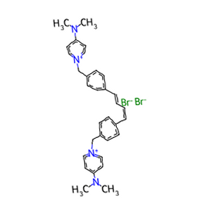 CN(C)c1cc[n+](Cc2ccc(/C=C\C=C\c3ccc(C[n+]4ccc(N(C)C)cc4)cc3)cc2)cc1.[Br-].[Br-]